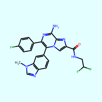 Cn1cnc2ccc(-c3c(-c4ccc(F)cc4)nc(N)c4nc(C(=O)NCC(F)F)cn34)cc21